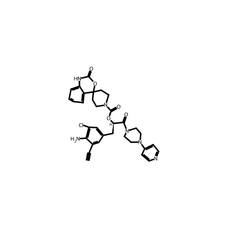 C#Cc1cc(C[C@@H](OC(=O)N2CCC3(CC2)OC(=O)Nc2ccccc23)C(=O)N2CCN(c3ccncc3)CC2)cc(Cl)c1N